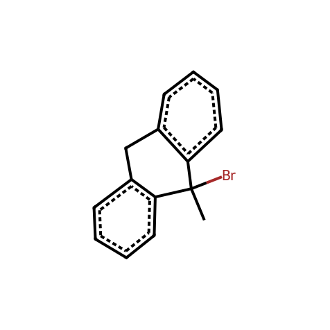 CC1(Br)c2ccccc2Cc2ccccc21